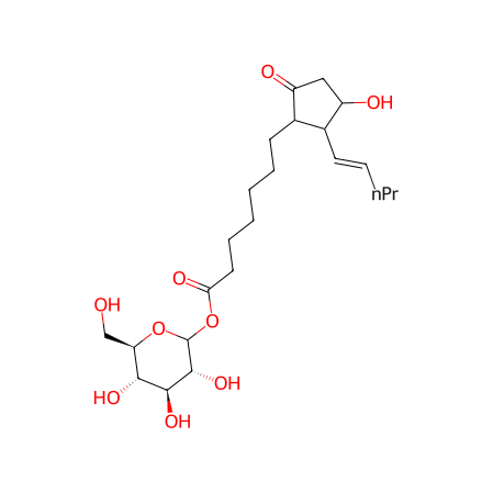 CCC/C=C/C1C(O)CC(=O)C1CCCCCCC(=O)OC1O[C@H](CO)[C@@H](O)[C@H](O)[C@H]1O